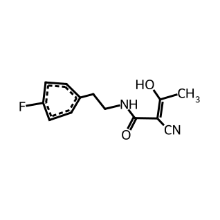 CC(O)=C(C#N)C(=O)NCCc1ccc(F)cc1